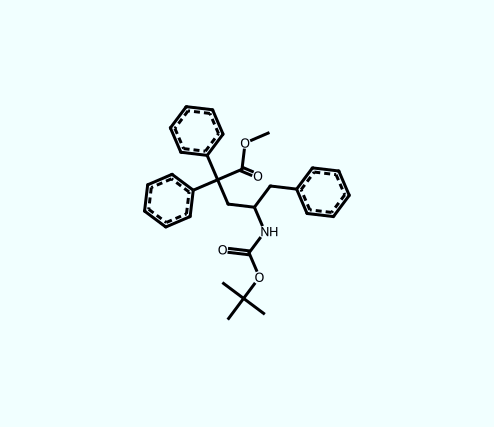 COC(=O)C(CC(Cc1ccccc1)NC(=O)OC(C)(C)C)(c1ccccc1)c1ccccc1